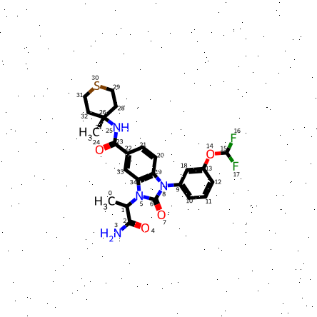 CC(C(N)=O)n1c(=O)n(-c2cccc(OC(F)F)c2)c2ccc(C(=O)NC3(C)CCSCC3)cc21